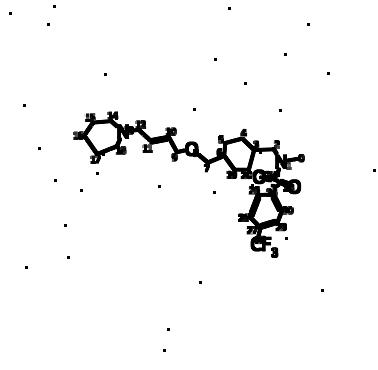 CN(CC1CCC(COCC=CCN2CCCCC2)CC1)S(=O)(=O)c1ccc(C(F)(F)F)cc1